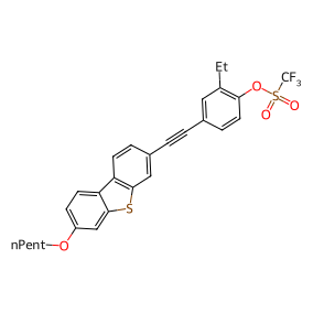 CCCCCOc1ccc2c(c1)sc1cc(C#Cc3ccc(OS(=O)(=O)C(F)(F)F)c(CC)c3)ccc12